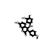 COc1ccc(-c2c(Nc3ccc(C)c(O)c3)c3ccc(O)cc3oc2=O)cc1